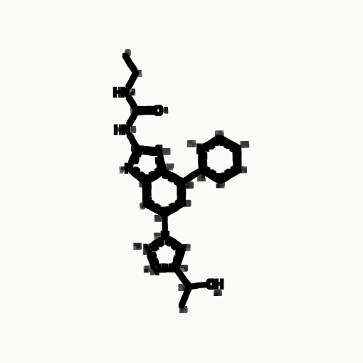 CCNC(=O)Nc1nc2cc(-n3cc(C(C)O)nn3)cc(-c3ccccn3)c2s1